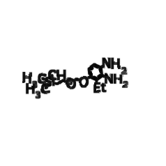 CCc1c(OCOCC[Si](C)(C)C)ccc(N)c1N